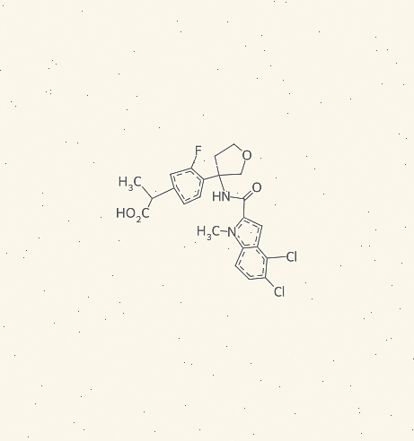 CC(C(=O)O)c1ccc(C2(NC(=O)c3cc4c(Cl)c(Cl)ccc4n3C)CCOC2)c(F)c1